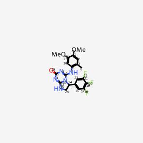 COc1cc(C)c(Nc2nc(=O)nc3n2C(c2cc(F)c(F)c(F)c2)CN3)cc1OC